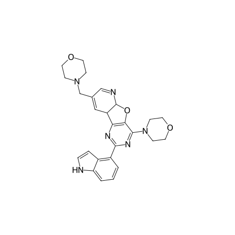 C1=NC2Oc3c(nc(-c4cccc5[nH]ccc45)nc3N3CCOCC3)C2C=C1CN1CCOCC1